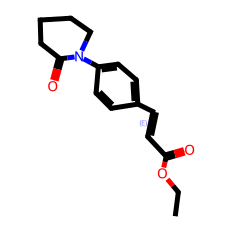 CCOC(=O)/C=C/c1ccc(N2CCCCC2=O)cc1